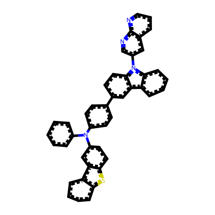 c1ccc(N(c2ccc(-c3ccc4c(c3)c3ccccc3n4-c3cnc4ncccc4c3)cc2)c2ccc3sc4ccccc4c3c2)cc1